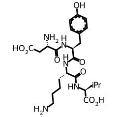 CC(C)[C@H](NC(=O)[C@H](CCCCN)NC(=O)[C@H](Cc1ccc(O)cc1)NC(=O)[C@@H](N)CC(=O)O)C(=O)O